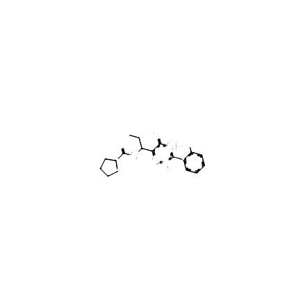 CCC(NC(=O)C1CCCC1)c1nnc(-c2ccccc2Br)[nH]c1=O